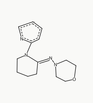 [c]1ccc(N2CCCCC2=NN2CCOCC2)nc1